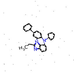 CCc1nc2cccc3c2n1-c1cc(-c2ccccc2)ccc1N3c1ccccc1